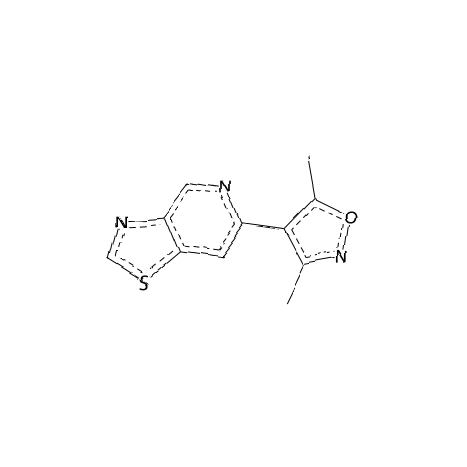 Cc1noc(C)c1-c1cc2scnc2cn1